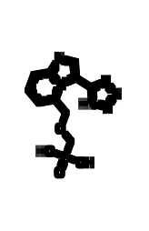 O=P(O)(O)COCc1cccc2ncc(-c3nnn[nH]3)n12